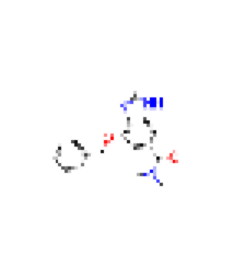 Cc1nc2c(OCc3ccccc3)cc(C(=O)N(C)C)cc2[nH]1